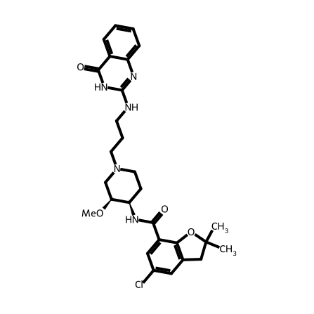 CO[C@H]1CN(CCCNc2nc3ccccc3c(=O)[nH]2)CC[C@H]1NC(=O)c1cc(Cl)cc2c1OC(C)(C)C2